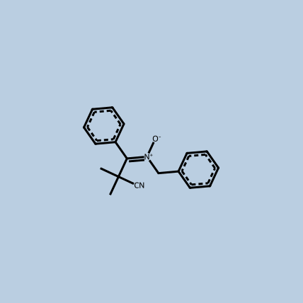 CC(C)(C#N)C(c1ccccc1)=[N+]([O-])Cc1ccccc1